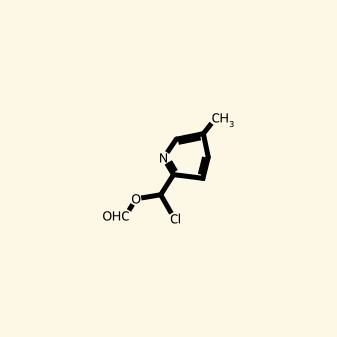 Cc1ccc(C(Cl)OC=O)nc1